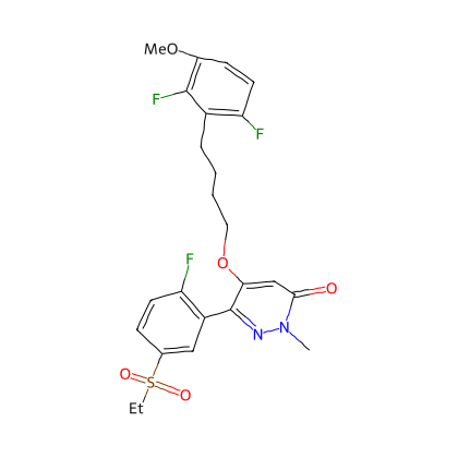 CCS(=O)(=O)c1ccc(F)c(-c2nn(C)c(=O)cc2OCCCCc2c(F)ccc(OC)c2F)c1